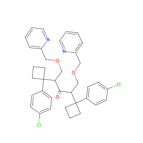 O=C(C(COCc1ccccn1)C1(c2ccc(Cl)cc2)CCC1)C(COCc1ccccn1)C1(c2ccc(Cl)cc2)CCC1